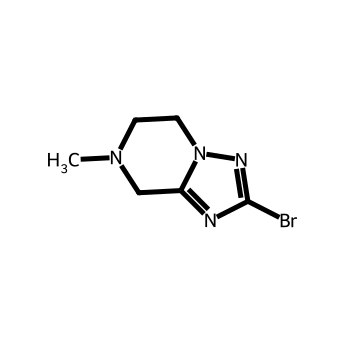 CN1CCn2nc(Br)nc2C1